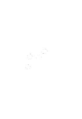 O=C(Nc1ccc(OC(F)(F)F)cc1)Nc1cccnc1Oc1cccc(F)c1C(=O)O